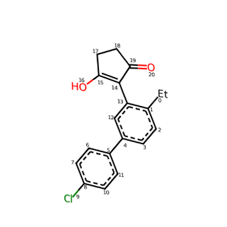 CCc1ccc(-c2ccc(Cl)cc2)cc1C1=C(O)CCC1=O